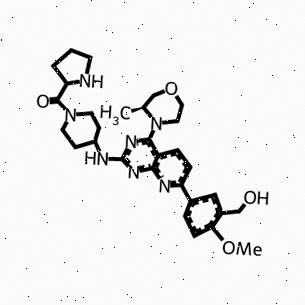 COc1ccc(-c2ccc3c(N4CCOC[C@@H]4C)nc(NC4CCN(C(=O)C5CCCN5)CC4)nc3n2)cc1CO